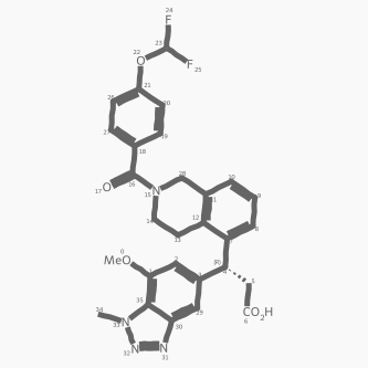 COc1cc([C@@H](CC(=O)O)c2cccc3c2CCN(C(=O)c2ccc(OC(F)F)cc2)C3)cc2nnn(C)c12